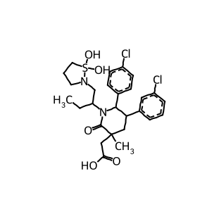 CCC(CN1CCCS1(O)O)N1C(=O)C(C)(CC(=O)O)CC(c2cccc(Cl)c2)C1c1ccc(Cl)cc1